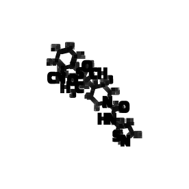 CC(C)(C1CCN(C(=O)Nc2ccns2)CC1)S(=O)(=O)c1ccccc1C#N